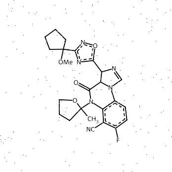 COC1(c2noc(C3N=CN4c5ccc(F)c(C#N)c5N(C5(C)CCCO5)C(=O)C34)n2)CCCC1